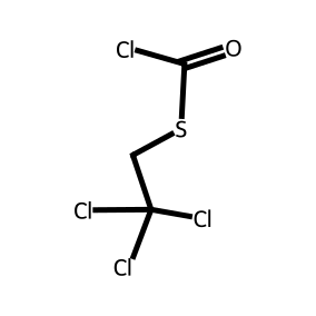 O=C(Cl)SCC(Cl)(Cl)Cl